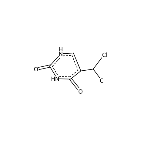 O=c1[nH]cc(C(Cl)Cl)c(=O)[nH]1